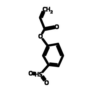 C=CC(=O)Oc1cccc([SH](=O)=O)c1